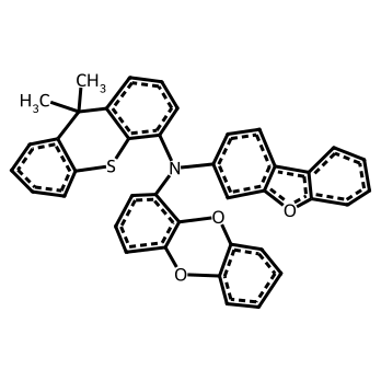 CC1(C)c2ccccc2Sc2c(N(c3ccc4c(c3)oc3ccccc34)c3cccc4c3Oc3ccccc3O4)cccc21